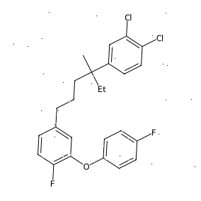 CCC(C)(CCCc1ccc(F)c(Oc2ccc(F)cc2)c1)c1ccc(Cl)c(Cl)c1